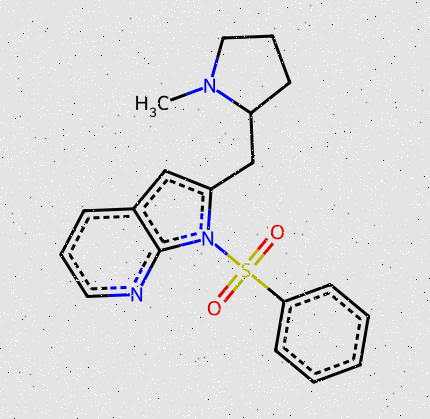 CN1CCCC1Cc1cc2cccnc2n1S(=O)(=O)c1ccccc1